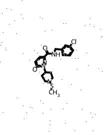 CSN1CCC(n2nc(C(=O)NCc3cccc(Cl)c3)ccc2=O)CC1